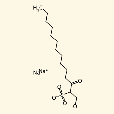 CCCCCCCCCCCC(=O)C(C[O-])S(=O)(=O)[O-].[Na+].[Na+]